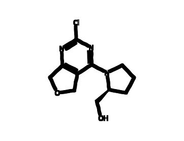 OC[C@@H]1CCCN1c1nc(Cl)nc2c1COC2